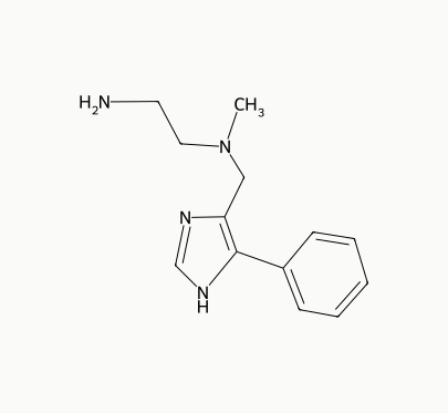 CN(CCN)Cc1nc[nH]c1-c1ccccc1